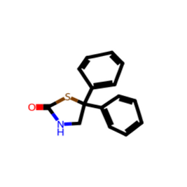 O=C1NCC(c2ccccc2)(c2ccccc2)S1